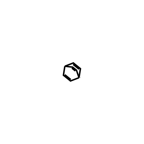 C1=CC2C=C[C]1C=C2